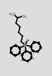 CC(C)CCCCCP(Br)(c1ccccc1)(c1ccccc1)c1ccccc1